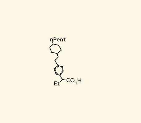 CCCCCC1CCC(CCc2ccc(C(CC)C(=O)O)cc2)CC1